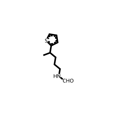 CC(CCCNC=O)c1cccs1